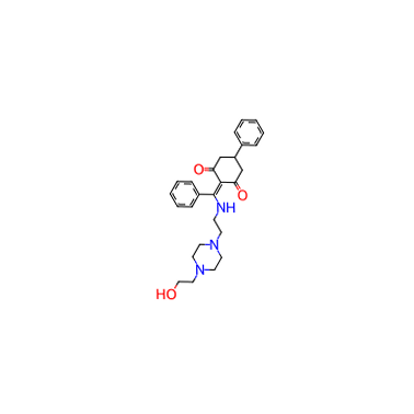 O=C1CC(c2ccccc2)CC(=O)C1=C(NCCN1CCN(CCO)CC1)c1ccccc1